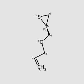 C=CCOC[C@@H]1CS1